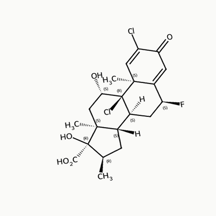 C[C@@H]1C[C@H]2[C@@H]3C[C@H](F)C4=CC(=O)C(Cl)=C[C@]4(C)[C@@]3(Cl)[C@@H](O)C[C@]2(C)[C@@]1(O)C(=O)O